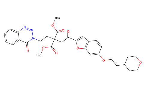 CC(C)(C)OC(=O)C(CCn1nnc2ccccc2c1=O)(CC(=O)c1cc2ccc(OCCC3CCOCC3)cc2o1)C(=O)OC(C)(C)C